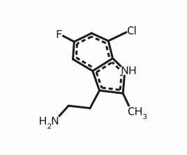 Cc1[nH]c2c(Cl)cc(F)cc2c1CCN